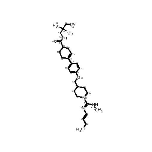 CC/C=C/N=C(\NC)N1CCC(COc2ccc(C3=CCC(C(=O)NCC(C)(C)CO)CC3)cc2)CC1